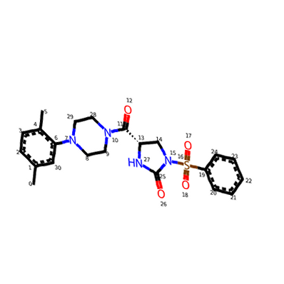 Cc1ccc(C)c(N2CCN(C(=O)[C@@H]3CN(S(=O)(=O)c4ccccc4)C(=O)N3)CC2)c1